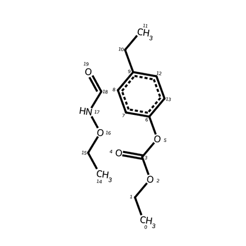 CCOC(=O)Oc1ccc(CC)cc1.CCONC=O